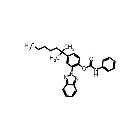 CCCCCC(C)(C)c1ccc(OC(=O)Nc2ccccc2)c(-n2nc3ccccc3n2)c1